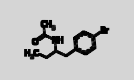 CCC(Cc1ccc(Br)cc1)NC(C)=O